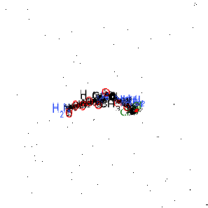 C[C@@H]1CN(C(=O)c2ccc(NC(=O)/C(N)=C/C3=C(N)N[C@H](c4c(Cl)ccc(F)c4Cl)O3)cc2)C[C@H](C)N1C(=O)CCOCCOCCOCCC(N)=O